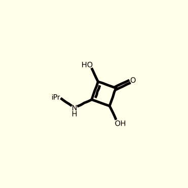 CC(C)NC1=C(O)C(=O)C1O